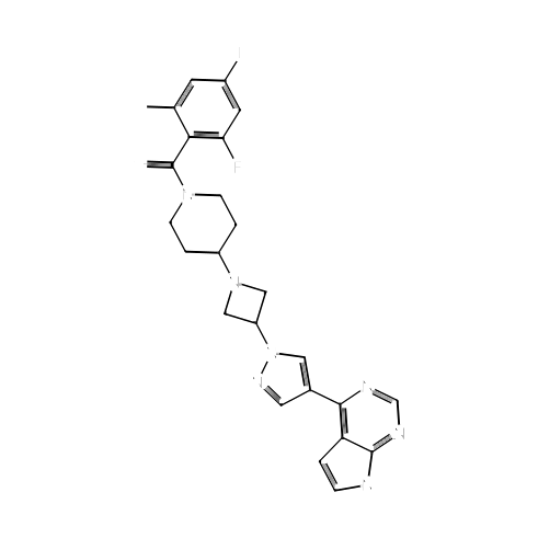 O=C(c1c(F)cc(F)cc1F)N1CCC(N2C[C](n3cc(-c4ncnc5[nH]ccc45)cn3)C2)CC1